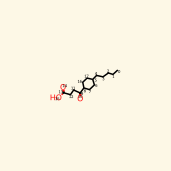 CCCCCC1CCC(C(=O)CCC(=O)O)CC1